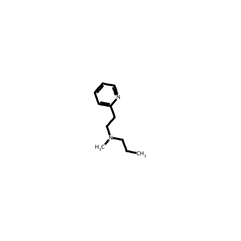 CCCN(C)CCc1ccccn1